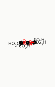 O=C(Oc1ccc(OC(=O)c2ccc(C(=O)O)c(C(=O)O)c2)cc1)c1ccc(C(=O)O)c(C(=O)O)c1